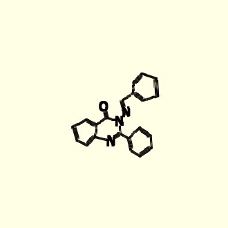 O=c1c2ccccc2nc(-c2ccccc2)n1N=Cc1ccccc1